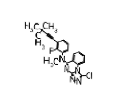 CN(c1cccc(C#CC(C)(C)C)c1F)c1nc2nnc(Cl)n2c2ccccc12